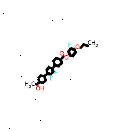 C=CCCOc1ccc(OC(=O)C2CCC(c3ccc(C4CCC(C(C)O)CC4)c(F)c3F)CC2)cc1F